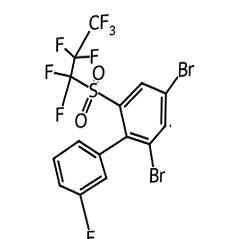 O=S(=O)(c1cc(Br)[c]c(Br)c1-c1cccc(F)c1)C(F)(F)C(F)(F)C(F)(F)F